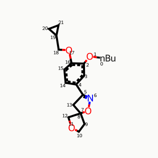 CCCCOc1cc(C2=NOC3(CCOC3)C2)ccc1OCC1CC1